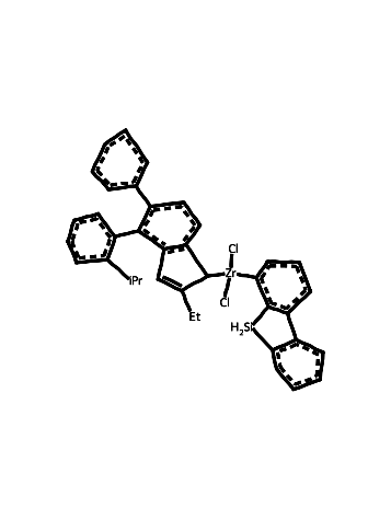 CCC1=Cc2c(ccc(-c3ccccc3)c2-c2ccccc2C(C)C)[CH]1[Zr]([Cl])([Cl])[c]1cccc2c1[SiH2]c1ccccc1-2